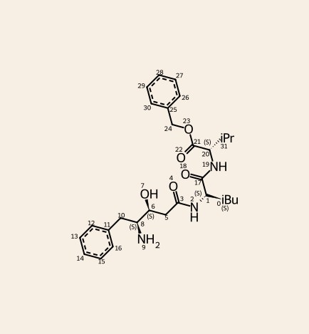 CC[C@H](C)[C@H](NC(=O)C[C@H](O)[C@@H](N)Cc1ccccc1)C(=O)N[C@H](C(=O)OCc1ccccc1)C(C)C